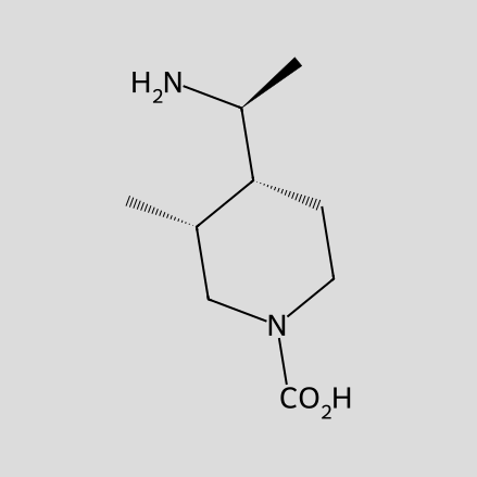 C[C@H](N)[C@@H]1CCN(C(=O)O)C[C@@H]1C